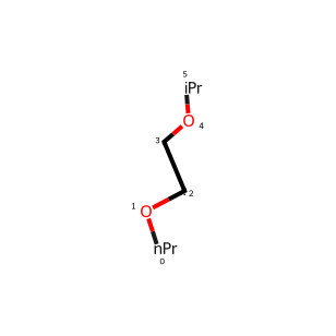 CCCO[CH]COC(C)C